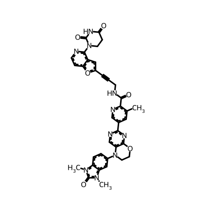 Cc1cc(-c2ncc3c(n2)OCCN3c2ccc3c(c2)n(C)c(=O)n3C)cnc1C(=O)NCC#Cc1cc2c(N3CCC(=O)NC3=O)nccc2o1